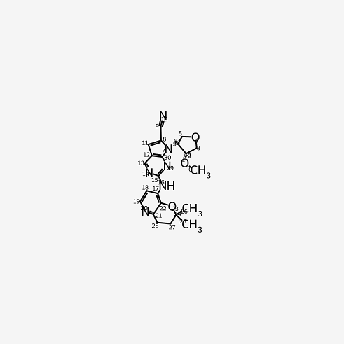 CO[C@H]1COC[C@H]1n1c(C#N)cc2cnc(Nc3ccnc4c3OC(C)(C)CC4)nc21